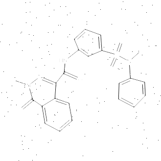 CN(c1ccccc1)S(=O)(=O)c1cccc(NC(=O)c2nn(C)c(=O)c3ccccc23)c1